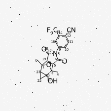 CC12OC(C)(C3C(=O)N(c4ccc(C#N)c(C(F)(F)F)c4)C(=O)C31)C1(O)CC21